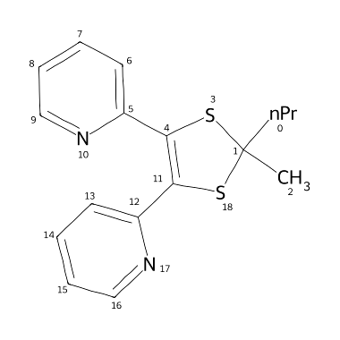 CCCC1(C)SC(c2ccccn2)=C(c2ccccn2)S1